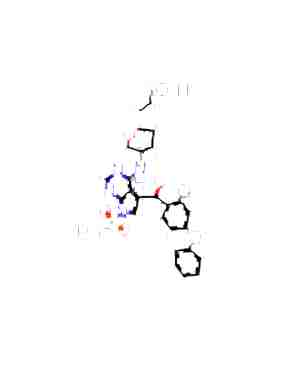 CS(=O)(=O)n1cc(C(=O)c2ccc(Oc3ccccc3)cc2Cl)c2c(N[C@@H]3CC[C@@H](CCS(=O)(=O)O)OC3)ncnc21